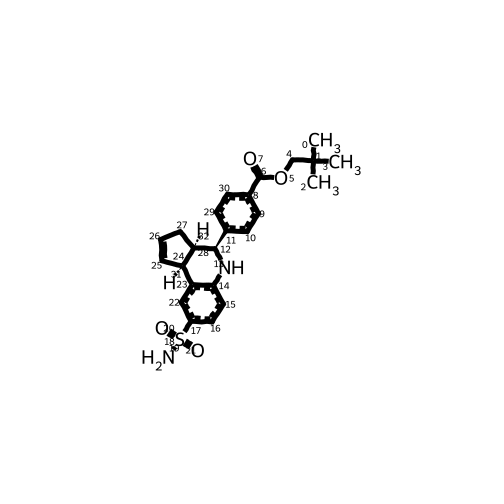 CC(C)(C)COC(=O)c1ccc([C@H]2Nc3ccc(S(N)(=O)=O)cc3[C@H]3C=CC[C@H]32)cc1